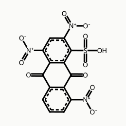 O=C1c2cccc([N+](=O)[O-])c2C(=O)c2c1c([N+](=O)[O-])cc([N+](=O)[O-])c2S(=O)(=O)O